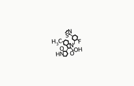 Cc1ccc2c(c1)c(-c1ccc[nH]c1=O)c(C(=O)O)n2Cc1cc(-c2nccs2)ccc1F